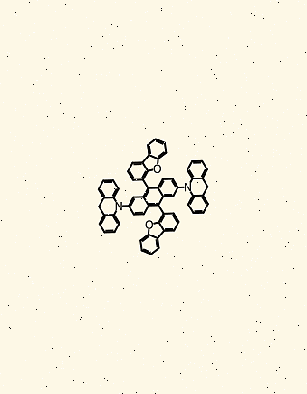 c1ccc2c(c1)Cc1ccccc1N2c1ccc2c(-c3cccc4c3oc3ccccc34)c3cc(N4c5ccccc5Cc5ccccc54)ccc3c(-c3cccc4c3oc3ccccc34)c2c1